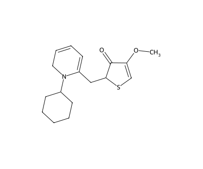 COC1=CSC(CC2=CC=CCN2C2CCCCC2)C1=O